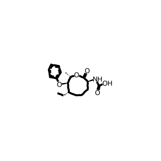 CC[C@H]1CCC[C@H](NC(=O)O)C(=O)O[C@@H](C)[C@@H]1Oc1ccccc1